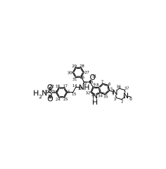 CN1CCN(c2ccc3c(C(=O)C(NCCc4ccc(S(N)(=O)=O)cc4)c4ccccc4)c[nH]c3c2)CC1